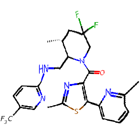 Cc1cccc(-c2sc(C)nc2C(=O)N2CC(F)(F)C[C@@H](C)C2CNc2ccc(C(F)(F)F)cn2)n1